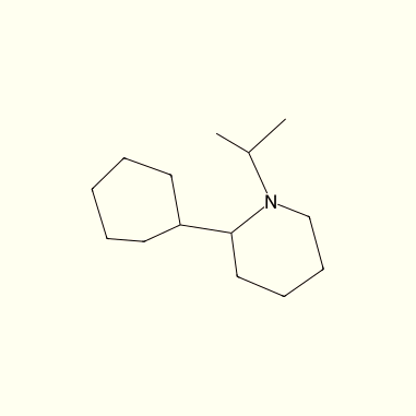 CC(C)N1CCCCC1C1CCCCC1